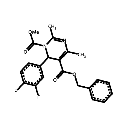 COC(=O)N1C(C)=NC(C)=C(C(=O)OCc2ccccc2)C1c1ccc(F)c(F)c1